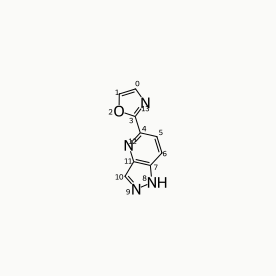 c1coc(-c2ccc3[nH]ncc3n2)n1